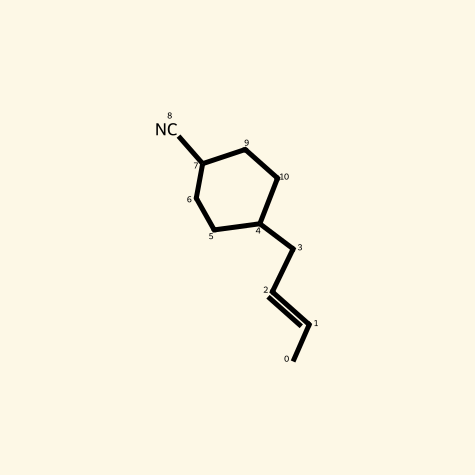 CC=CCC1CCC(C#N)CC1